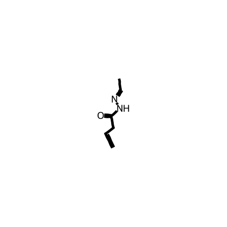 C=CCC(=O)N/N=C/C